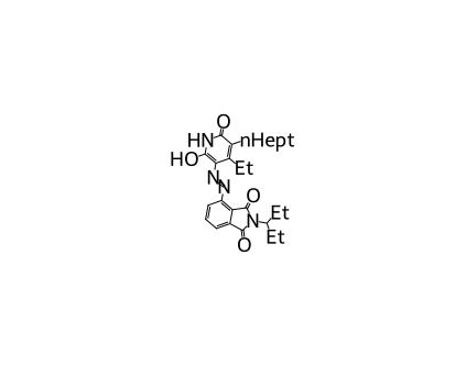 CCCCCCCc1c(CC)c(N=Nc2cccc3c2C(=O)N(C(CC)CC)C3=O)c(O)[nH]c1=O